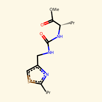 COC(=O)[C@@H](NC(=O)NCc1csc(C(C)C)n1)C(C)C